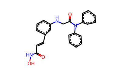 O=C(C=Cc1cccc(NCC(=O)N(c2ccccc2)c2ccccc2)c1)NO